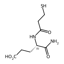 NC(=O)[C@H](CCC(=O)O)NC(=O)CCS